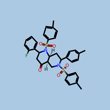 Cc1ccc(C2C[C@H]3[C@@H](CN2S(=O)(=O)c2ccc(C)cc2)C(=O)CC(c2ccccc2F)N3S(=O)(=O)c2ccc(C)cc2)cc1